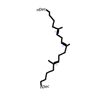 CCCCCCCCCCCCCC/C(C)=C/C/C=C(\C)CC/C=C(\C)CCCCCCCCCCCCCC